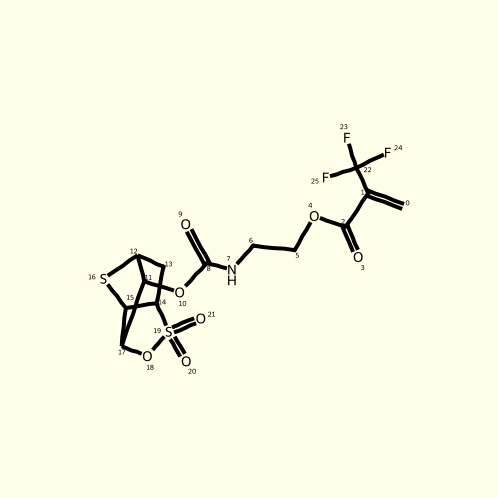 C=C(C(=O)OCCNC(=O)OC1C2CC3C(S2)C1OS3(=O)=O)C(F)(F)F